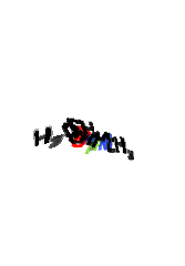 Cn1ccc(C2=CCN(C(=O)OC(C)(C)C)CC2(F)F)n1